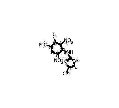 O=[N+]([O-])c1cc(C(F)(F)F)c(Cl)c([N+](=O)[O-])c1Nc1ncc(Cl)s1